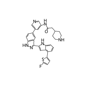 O=C(CC1CCNCC1)Nc1cncc(-c2ccc3[nH]nc(-c4cc5c(-c6ccc(F)s6)cccc5[nH]4)c3c2)c1